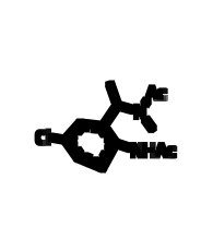 CC(=O)Nc1ccc(Cl)cc1C(C)N(C)C(C)=O